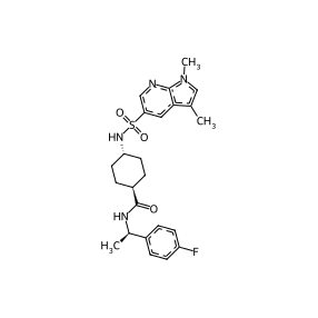 Cc1cn(C)c2ncc(S(=O)(=O)N[C@H]3CC[C@H](C(=O)N[C@H](C)c4ccc(F)cc4)CC3)cc12